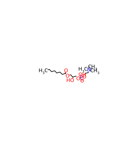 CCCCCCCC(=O)OCC(O)COP(=O)(O)OCC[N+](C)(C)C